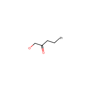 CC(C)CCC(=O)C[O]